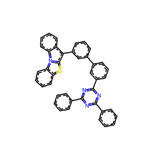 c1ccc(-c2nc(-c3ccccc3)nc(-c3cccc(-c4cccc(-c5c6ccccc6n6c5sc5ccccc56)c4)c3)n2)cc1